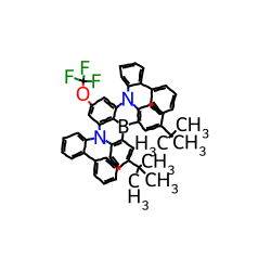 CC(C)(C)c1ccc2c(c1)B1c3cc(C(C)(C)C)ccc3N(c3ccccc3-c3ccccc3)c3cc(OC(F)(F)F)cc(c31)N2c1ccccc1-c1ccccc1